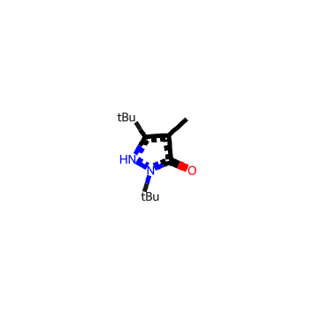 Cc1c(C(C)(C)C)[nH]n(C(C)(C)C)c1=O